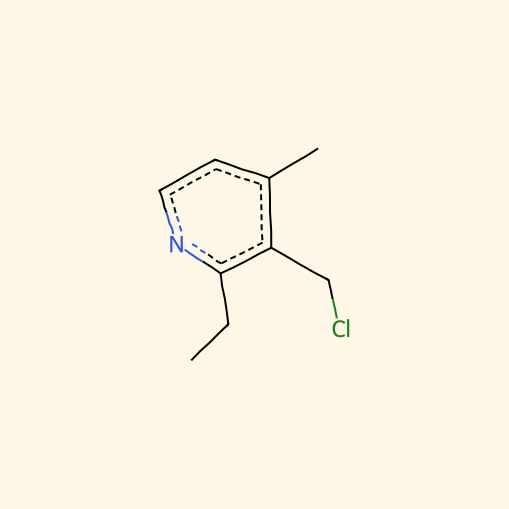 CCc1nccc(C)c1CCl